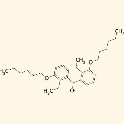 CCCCCCOc1cccc(C([O])c2cccc(OCCCCCC)c2CC)c1CC